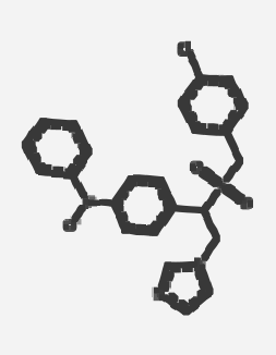 O=S(=O)(Cc1ccc(Cl)cc1)C(Cn1ccnc1)c1ccc([S+]([O-])c2ccccc2)cc1